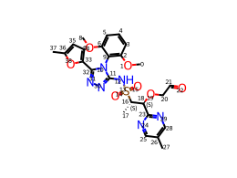 COc1cccc(OC)c1-n1c(NS(=O)(=O)[C@@H](C)[C@@H](OCC=O)c2ncc(C)cn2)nnc1-c1ccc(C)o1